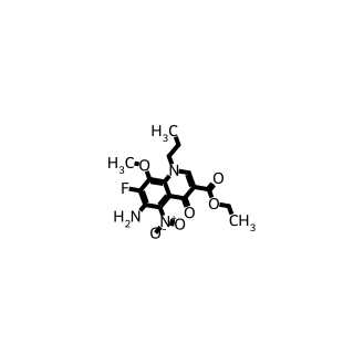 CCCn1cc(C(=O)OCC)c(=O)c2c([N+](=O)[O-])c(N)c(F)c(OC)c21